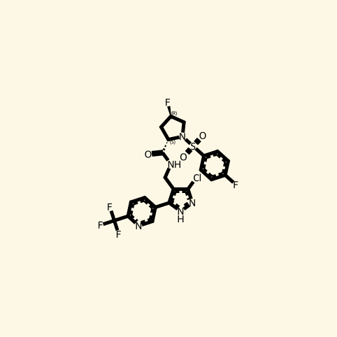 O=C(NCc1c(Cl)n[nH]c1-c1ccc(C(F)(F)F)nc1)[C@@H]1C[C@@H](F)CN1S(=O)(=O)c1ccc(F)cc1